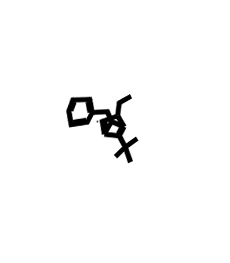 CCC1[C]=C2C(C(C)(C)C)=C1C2Cc1ccccc1